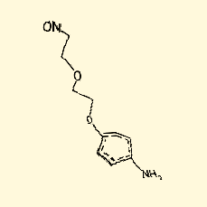 Nc1ccc(OCCOCCN=O)cc1